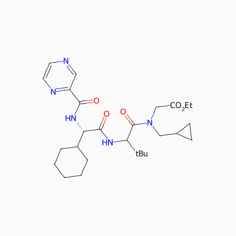 CCOC(=O)CN(CC1CC1)C(=O)C(NC(=O)[C@@H](NC(=O)c1cnccn1)C1CCCCC1)C(C)(C)C